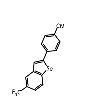 N#Cc1ccc(-c2cc3cc(C(F)(F)F)ccc3[se]2)cc1